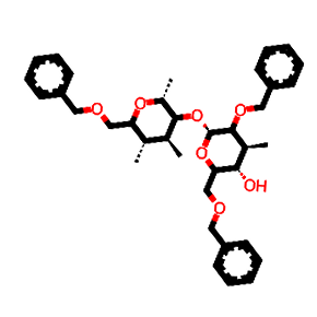 C[C@@H]1C(COCc2ccccc2)O[C@H](C)C(O[C@H]2OC(COCc3ccccc3)[C@@H](O)[C@H](C)C2OCc2ccccc2)[C@H]1C